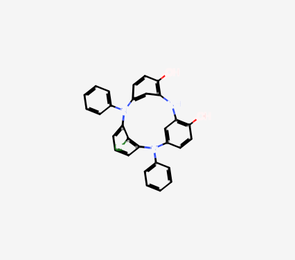 Oc1ccc2cc1Nc1cc(ccc1O)N(c1ccccc1)c1cccc(c1Cl)N2c1ccccc1